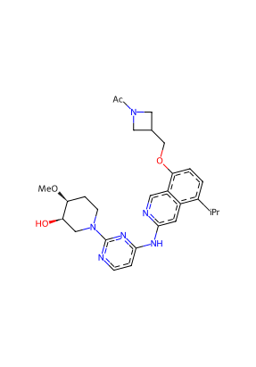 CO[C@H]1CCN(c2nccc(Nc3cc4c(C(C)C)ccc(OCC5CN(C(C)=O)C5)c4cn3)n2)C[C@H]1O